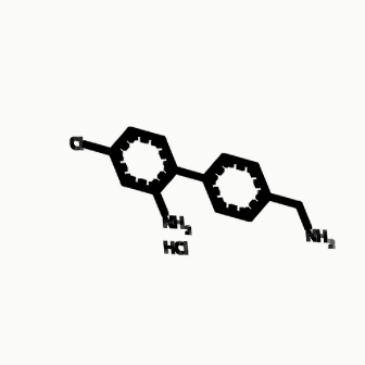 Cl.NCc1ccc(-c2ccc(Cl)cc2N)cc1